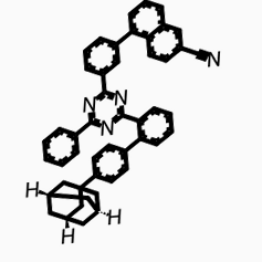 N#Cc1ccc2c(-c3cccc(-c4nc(-c5ccccc5)nc(-c5ccccc5-c5ccc(C67C[C@H]8C[C@H](C6)C[C@@H](C7)C8)cc5)n4)c3)cccc2c1